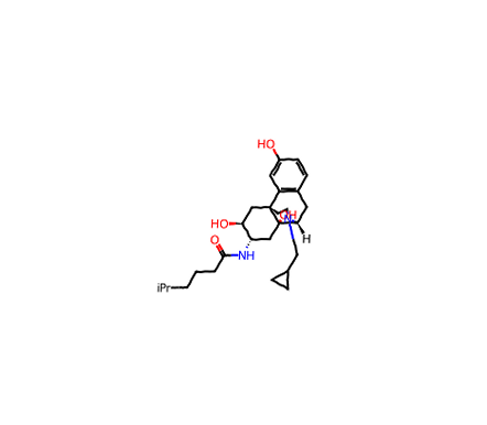 CC(C)CCCC(=O)N[C@H]1C[C@@]2(O)[C@H]3Cc4ccc(O)cc4[C@@]2(CCN3CC2CC2)C[C@@H]1O